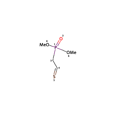 COP(=O)(CC=S)OC